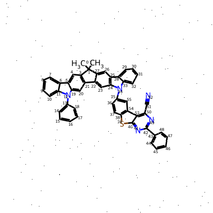 CC1(C)c2cc3c4ccccc4n(-c4ccccc4)c3cc2-c2cc3c(cc21)c1ccccc1n3-c1ccc2sc3nc(-c4ccccc4)nc(C#N)c3c2c1